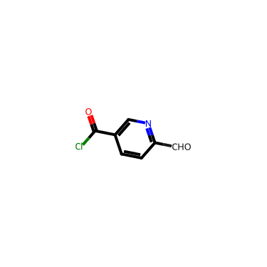 O=Cc1ccc(C(=O)Cl)cn1